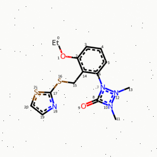 CCOc1cccc(-n2c(=O)n(C)n2C)c1CSc1nccs1